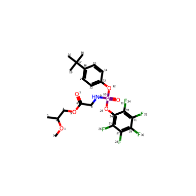 COC(C)COC(=O)CNP(=O)(Oc1ccc(C(C)(C)C)cc1)Oc1c(F)c(F)c(F)c(F)c1F